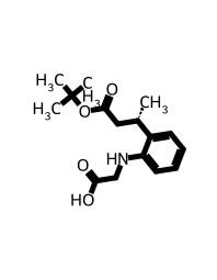 C[C@@H](CC(=O)OC(C)(C)C)c1ccccc1NCC(=O)O